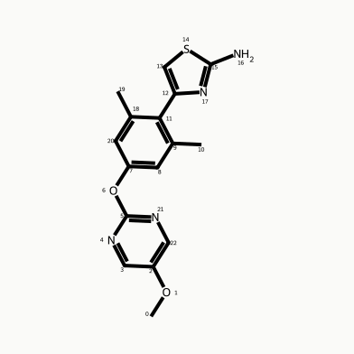 COc1cnc(Oc2cc(C)c(-c3csc(N)n3)c(C)c2)nc1